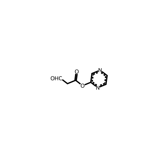 O=CCC(=O)Oc1cnccn1